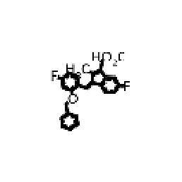 CC1=C(CC(=O)O)c2cc(F)ccc2/C1=C/c1ccc(F)cc1OCc1ccccc1